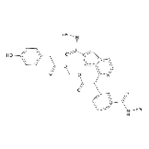 CCCNC(=O)c1ccc(C)c(N(C(=O)OCOC(=O)Cc2ccc(O)cc2)c2ncnn3cc(C(=O)NCCC)cc23)c1